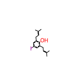 CC(C)=CCc1cc(I)cc(CC=C(C)C)c1O